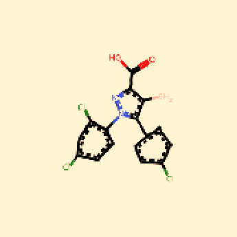 Bc1c(C(=O)O)nn(-c2ccc(Cl)cc2Cl)c1-c1ccc(Cl)cc1